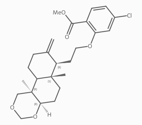 C=C1CCC2[C@]3(C)COCO[C@@H]3CC[C@@]2(C)[C@@H]1CCOc1cc(Cl)ccc1C(=O)OC